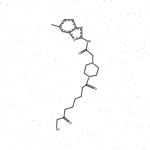 Cc1ccc2nc(NC(=O)CN3CCN(C(=O)CCCCCC(=O)CS)CC3)sc2c1